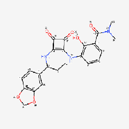 CCC(Nc1c(Nc2cccc(C(=O)N(C)C)c2O)c(=O)c1=O)c1ccc2c(c1)OCO2